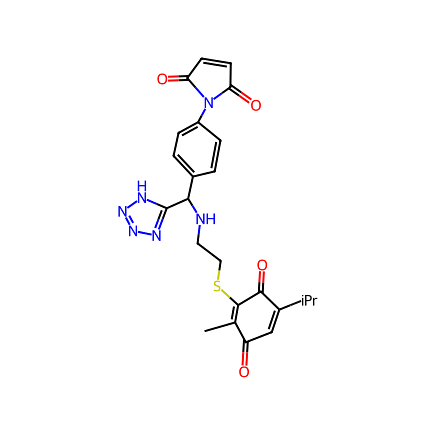 CC1=C(SCCNC(c2ccc(N3C(=O)C=CC3=O)cc2)c2nnn[nH]2)C(=O)C(C(C)C)=CC1=O